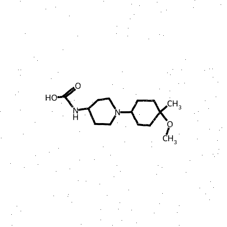 COC1(C)CCC(N2CCC(NC(=O)O)CC2)CC1